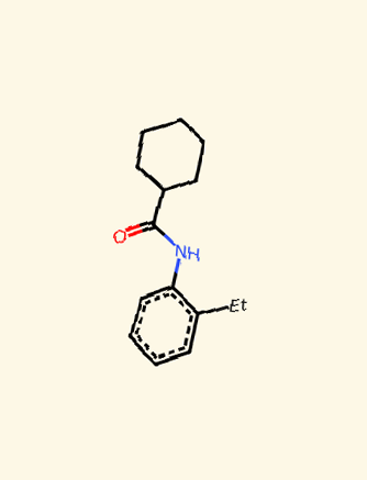 CCc1ccccc1NC(=O)C1CCCCC1